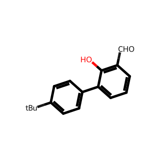 CC(C)(C)c1ccc(-c2cccc(C=O)c2O)cc1